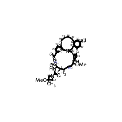 CO[C@H]1/C=C/C[C@H](C)C(NC(=O)N2CC(C)(OC)C2)/[SH](=O)=N\C(=O)c2ccc3c(c2)N(Cc2ccc(Cl)cc2CCCCO3)C[C@@]23CC2[C@@H]13